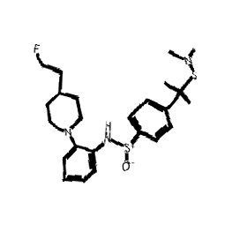 CN(C)SC(C)(C)c1ccc([S+]([O-])Nc2ccccc2N2CCC(CCF)CC2)cc1